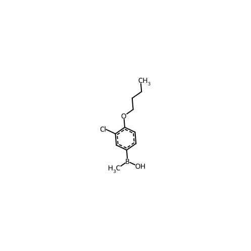 CCCCOc1ccc(B(C)O)cc1Cl